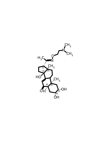 CC(=NOCCN(C)C)[C@H]1CC[C@@]2(O)C3=CC(=O)[C@@H]4C[C@@H](O)[C@@H](O)C[C@]4(C)C3CC[C@]12C